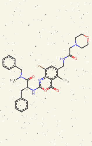 Cc1c(CNC(=O)CN2CCOCC2)cc(Br)c2nc(N[C@@H](Cc3ccccc3)C(=O)N(C)Cc3ccccc3)oc(=O)c12